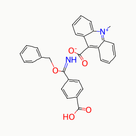 C[n+]1c2ccccc2c(C(=O)[O-])c2ccccc21.N=C(OCc1ccccc1)c1ccc(C(=O)O)cc1